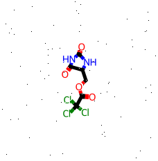 O=C1NC(=O)C(COC(=O)C(Cl)(Cl)Cl)N1